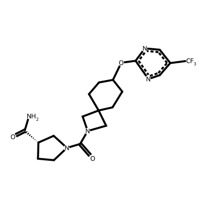 NC(=O)[C@H]1CCN(C(=O)N2CC3(CCC(Oc4ncc(C(F)(F)F)cn4)CC3)C2)C1